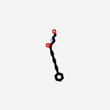 O=C/C=C/C1OC1C#CC#CC#Cc1ccccc1